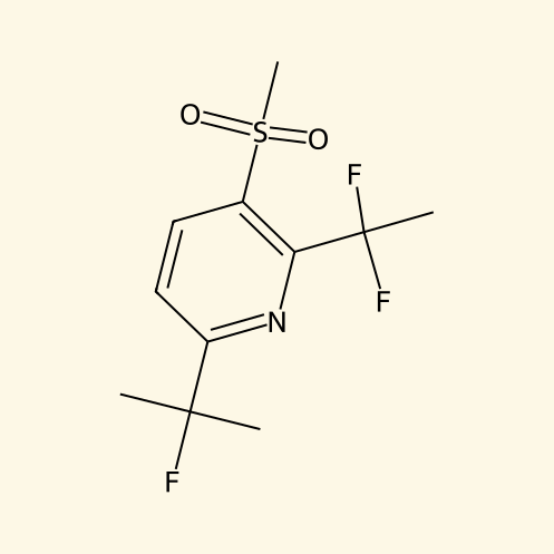 CC(C)(F)c1ccc(S(C)(=O)=O)c(C(C)(F)F)n1